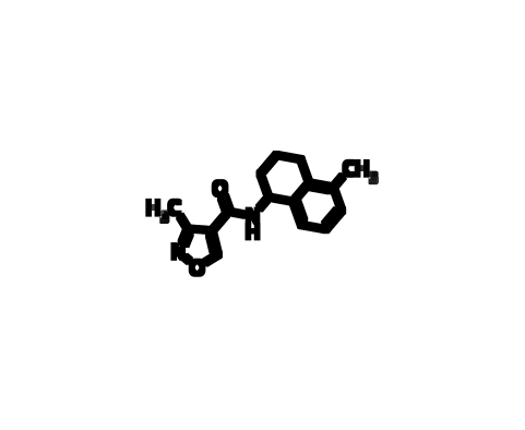 Cc1cccc2c1CCCC2NC(=O)c1conc1C